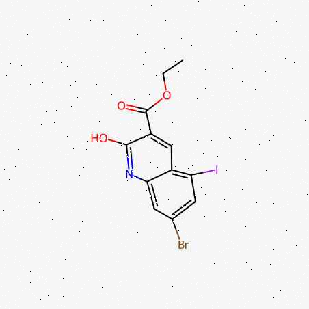 CCOC(=O)c1cc2c(I)cc(Br)cc2nc1O